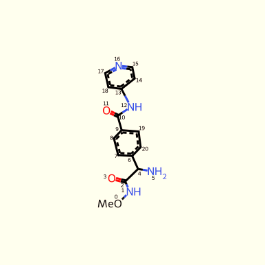 CONC(=O)C(N)c1ccc(C(=O)Nc2ccncc2)cc1